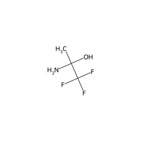 CC(N)(O)C(F)(F)F